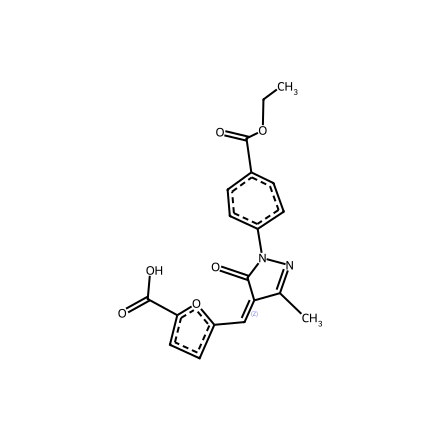 CCOC(=O)c1ccc(N2N=C(C)/C(=C/c3ccc(C(=O)O)o3)C2=O)cc1